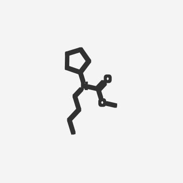 CCCCN(C(=O)OC)C1CCCC1